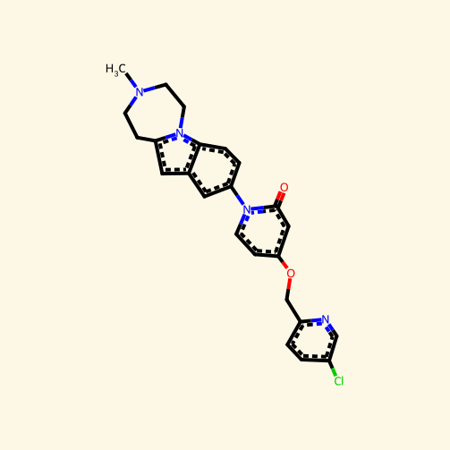 CN1CCc2cc3cc(-n4ccc(OCc5ccc(Cl)cn5)cc4=O)ccc3n2CC1